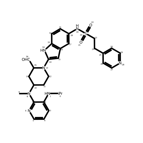 CC(C)Nc1cccnc1N(C)C1CCN(c2cc3cc(NS(=O)(=O)CCc4ccncc4)ccc3[nH]2)C(C=O)C1